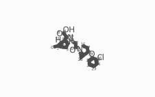 CC1=C2Cc3c(c(C(=O)O)nn3CC(=O)N3CCC(Oc4ccccc4Cl)C4CC43)[C@H]12